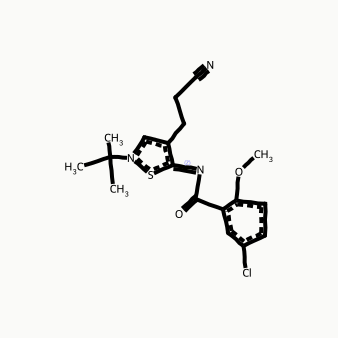 COc1ccc(Cl)cc1C(=O)/N=c1\sn(C(C)(C)C)cc1CCC#N